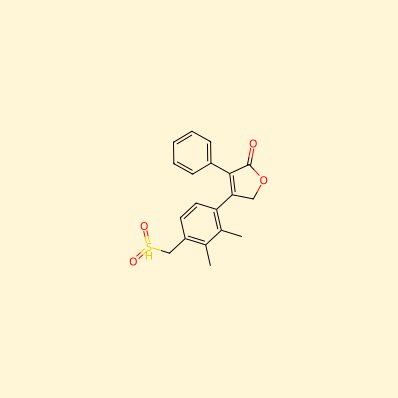 Cc1c(C[SH](=O)=O)ccc(C2=C(c3ccccc3)C(=O)OC2)c1C